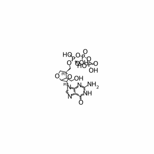 Nc1nc2c(ncn2[C@@H]2O[C@@]3(COP(=O)(O)OP(=O)(O)OP(=O)(O)O)COC2C3CO)c(=O)[nH]1